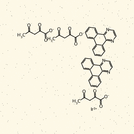 CC(=O)CC(=O)C(=O)[O-].CC(=O)CC(=O)C(=O)[O-].CC(=O)CC(=O)C(=O)[O-].[Ir+3].c1ccc2c(c1)c1ccccc1c1nccnc21.c1ccc2c(c1)c1ccccc1c1nccnc21